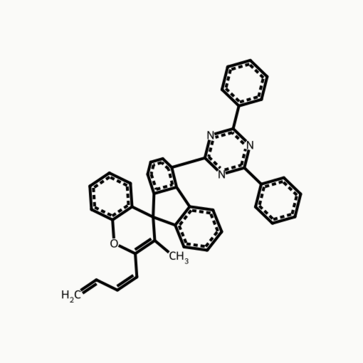 C=C/C=C\C1=C(C)C2(c3ccccc3O1)c1ccccc1-c1c(-c3nc(-c4ccccc4)nc(-c4ccccc4)n3)cccc12